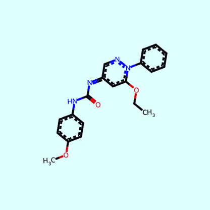 CCOc1c/c(=N\C(=O)Nc2ccc(OC)cc2)cnn1-c1ccccc1